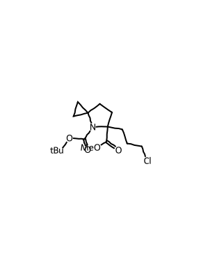 COC(=O)C1(CCCCl)CCC2(CC2)N1C(=O)OC(C)(C)C